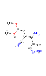 COC(C/C(C#N)=C(\N)c1cn[nH]c1)OC